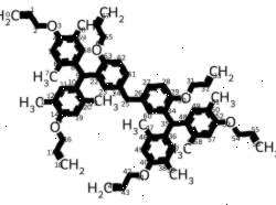 C=CCOc1cc(C)c(C(c2cc(C)c(OCC=C)cc2C)c2cc(Cc3ccc(OCC=C)c(C(c4cc(C)c(OCC=C)cc4C)c4cc(C)c(OCC=C)cc4C)c3)ccc2OCC=C)cc1C